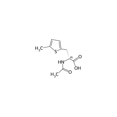 CC(=O)N[C@H](Cc1ccc(C)s1)C(=O)O